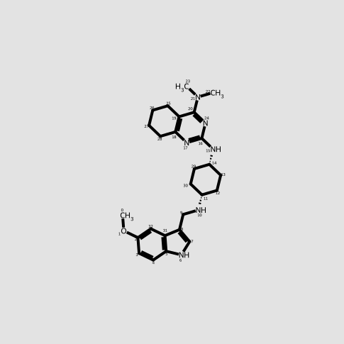 COc1ccc2[nH]cc(CN[C@H]3CC[C@@H](Nc4nc5c(c(N(C)C)n4)CCCC5)CC3)c2c1